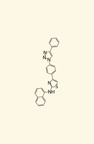 c1ccc(-c2cn(-c3ccc(-c4csc(Nc5cccc6ccccc56)n4)cc3)nn2)cc1